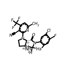 [2H]C([2H])([2H])N(C(=O)[C@@H]1[C@H](N)CCN1c1nc(C)cc(C(F)(F)F)c1C#N)c1cc(Cl)c(F)cc1F